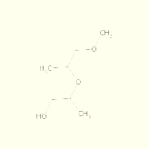 COCC(C)OC(C)CO